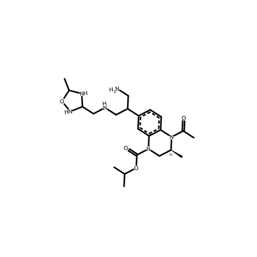 CC(=O)N1c2ccc(C(CN)CNCC3NOC(C)N3)cc2N(C(=O)OC(C)C)C[C@@H]1C